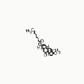 CCCCCCCC(=O)O[C@H]1CC[C@@]2(C)C(=CC(=O)[C@@H]3[C@@H]2CC[C@]2(C)C(=O)CC[C@@H]32)C1